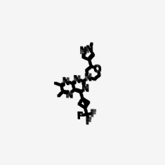 Cc1nc2nc(N3CCOC(c4cnn(C)c4)C3)nc(C34CC(C(F)(F)F)(C3)C4)c2nc1C